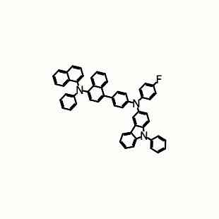 Fc1ccc(N(c2ccc(-c3ccc(N(c4ccccc4)c4cccc5ccccc45)c4ccccc34)cc2)c2ccc3c(c2)c2ccccc2n3-c2ccccc2)cc1